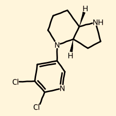 Clc1cc(N2CCC[C@@H]3NCC[C@@H]32)cnc1Cl